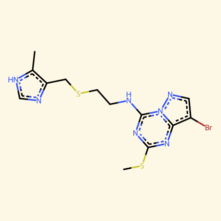 CSc1nc(NCCSCc2nc[nH]c2C)n2ncc(Br)c2n1